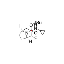 CC(C)(C)OC(=O)N1[C@H]2CC[C@@H]1[C@@H](F)[C@@H](NC1CC1)C2